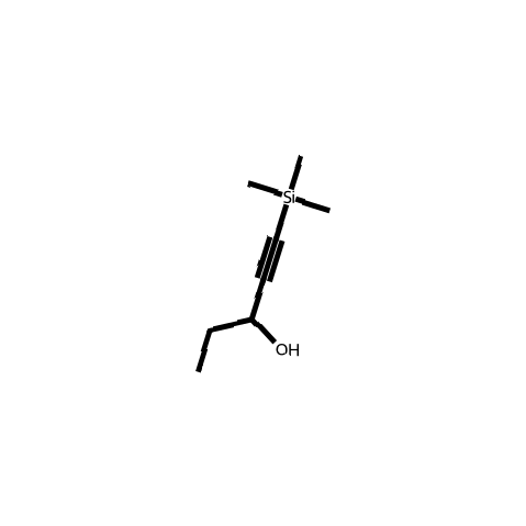 CCC(O)C#C[Si](C)(C)C